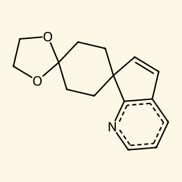 C1=CC2(CCC3(CC2)OCCO3)c2ncccc21